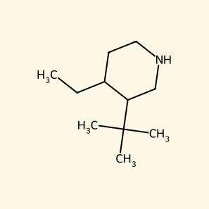 CCC1CCNCC1C(C)(C)C